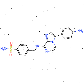 Nc1ccc(-c2cnc3c(NCc4ccc(S(N)(=O)=O)cc4)nccn23)cc1